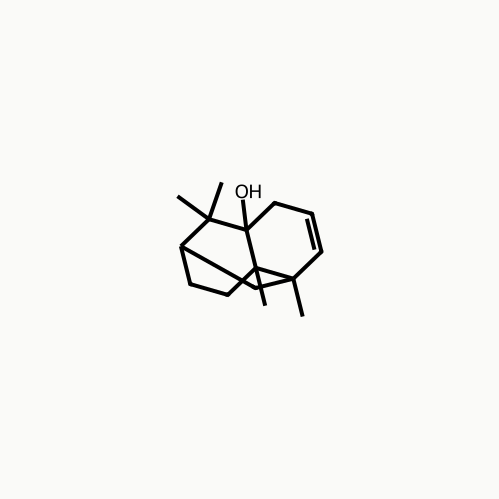 CC12C=CCC3(O)C(C)(C)C(CCC13C)C2